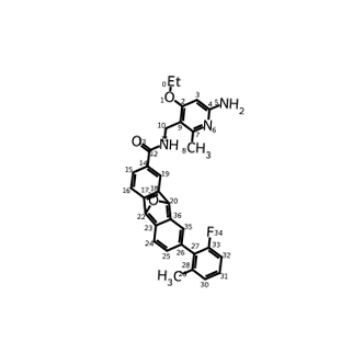 CCOc1cc(N)nc(C)c1CNC(=O)c1ccc2c(c1)c1oc2c2ccc(-c3c(C)cccc3F)cc21